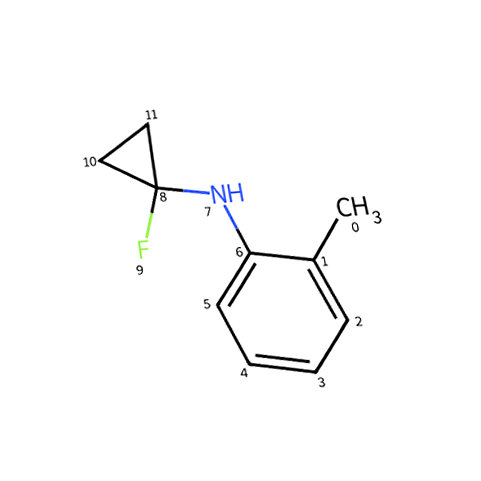 Cc1ccccc1NC1(F)CC1